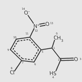 CC(C(=O)S)c1cc(Cl)ccc1[N+](=O)[O-]